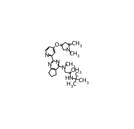 C[C@@H]1C[C@@H](Oc2ccnc(-c3nc4c(c(N(C)CC(=O)NC(C)(C)C)n3)CCC4)c2)CN1C